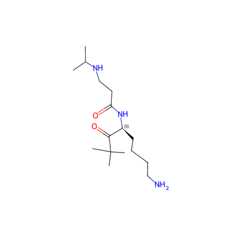 CC(C)NCCC(=O)N[C@@H](CCCCN)C(=O)C(C)(C)C